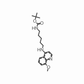 COc1cccc2c(NCCCCCNC(=O)OC(C)(C)C)ccnc12